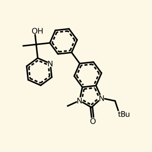 Cn1c(=O)n(CC(C)(C)C)c2ccc(-c3cccc(C(C)(O)c4ccccn4)c3)cc21